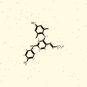 Cc1cc(C#N)cc(C)c1Oc1nc(Nc2ccc(C#N)cc2)ncc1/C=C/C(=O)O